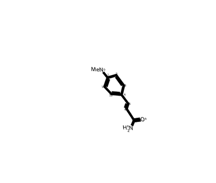 CNc1ccc(/C=C/C(N)=O)cc1